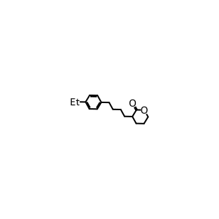 CCc1ccc(CCCCC2CCCOC2=O)cc1